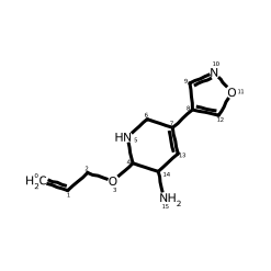 C=CCOC1NCC(c2cnoc2)=CC1N